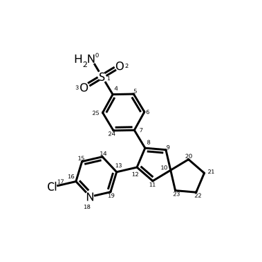 NS(=O)(=O)c1ccc(C2=CC3(C=C2c2ccc(Cl)nc2)CCCC3)cc1